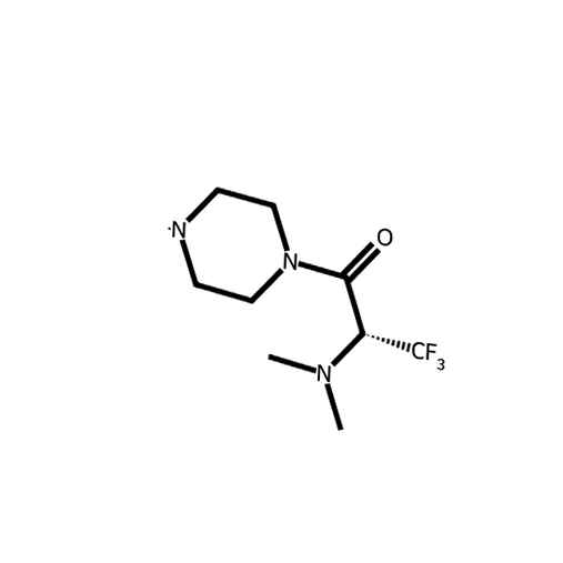 CN(C)[C@H](C(=O)N1CC[N]CC1)C(F)(F)F